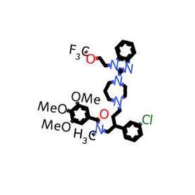 COc1cc(C(=O)N(C)CC(CCN2CCCN(c3nc4ccccc4n3CCOC(F)(F)F)CC2)c2cccc(Cl)c2)cc(OC)c1OC